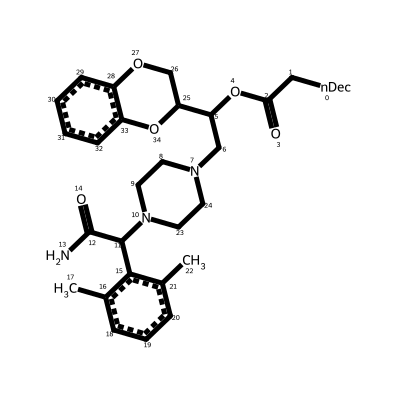 CCCCCCCCCCCC(=O)OC(CN1CCN(C(C(N)=O)c2c(C)cccc2C)CC1)C1COc2ccccc2O1